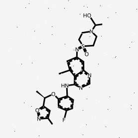 Cc1cc([C@@H](C)Oc2cc(F)ccc2Nc2ncnc3cc(N=S4(=O)CCN(C(C)O)CC4)cc(C)c23)on1